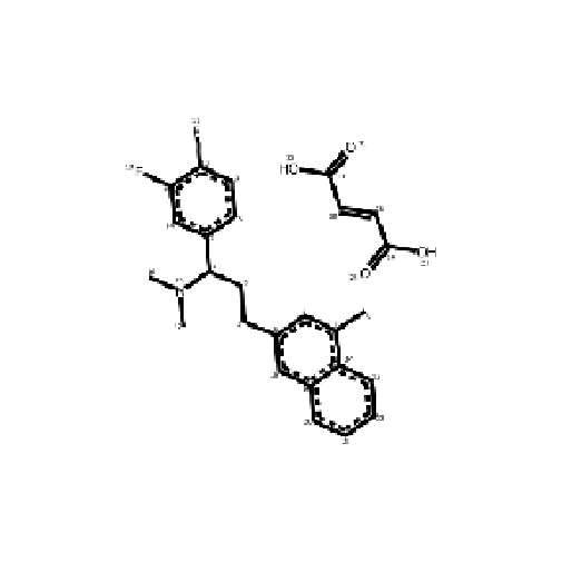 Cc1cc(CCC(c2ccc(F)c(F)c2)N(C)C)cc2ccccc12.O=C(O)C=CC(=O)O